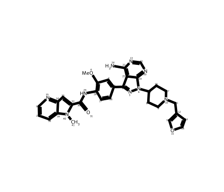 COc1cc(-c2nn(C3CCN(Cc4ccoc4)CC3)c3ncnc(N)c23)ccc1NC(=O)c1cc2ncccc2n1C